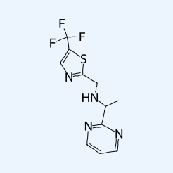 CC(NCc1ncc(C(F)(F)F)s1)c1ncccn1